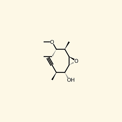 C#C[C@H](C)[C@@H](O)[C@H]1O[C@@H]1[C@H](C)[C@H](CC)OC